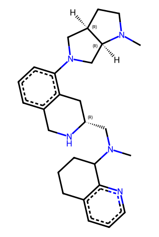 CN(C[C@H]1Cc2c(cccc2N2C[C@H]3CCN(C)[C@H]3C2)CN1)C1CCCc2cccnc21